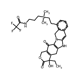 CCC1(O)C(=O)OCC2=C1CC1=C(C2=O)N2Cc3c(cccc3CC[Si](C)(C)CCCNC(=O)C(F)(F)F)C=C2N1